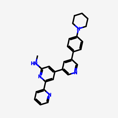 CNc1cc(-c2cncc(-c3ccc(N4CCCCC4)cc3)c2)cc(-c2ccccn2)n1